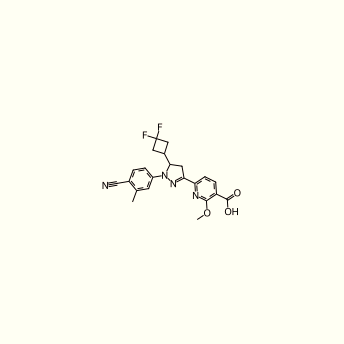 COc1nc(C2=NN(c3ccc(C#N)c(C)c3)C(C3CC(F)(F)C3)C2)ccc1C(=O)O